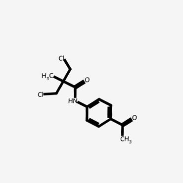 CC(=O)c1ccc(NC(=O)C(C)(CCl)CCl)cc1